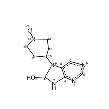 OC1Nc2ncncc2N1C1CCN(Cl)CC1